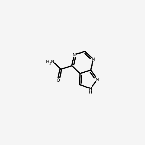 NC(=O)c1ncnc2n[nH]cc12